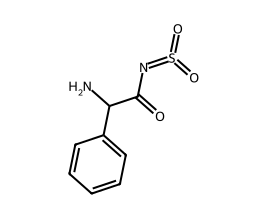 NC(C(=O)N=S(=O)=O)c1ccccc1